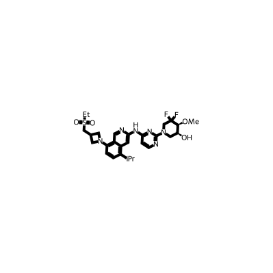 CCS(=O)(=O)CC1CN(c2ccc(C(C)C)c3cc(Nc4ccnc(N5C[C@H](O)[C@H](OC)C(F)(F)C5)n4)ncc23)C1